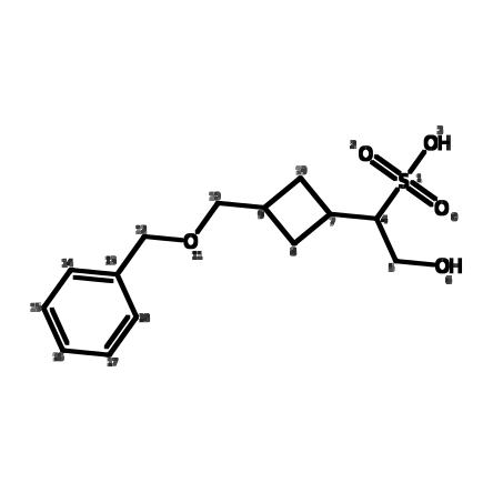 O=S(=O)(O)C(CO)C1CC(COCc2ccccc2)C1